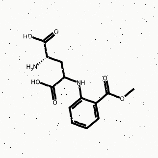 COC(=O)c1ccccc1NC(C[C@H](N)C(=O)O)C(=O)O